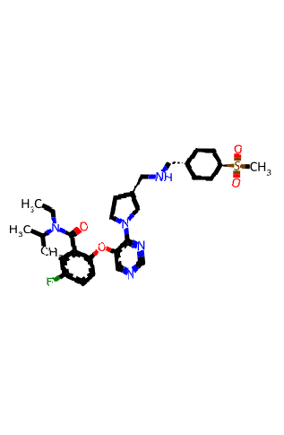 CCN(C(=O)c1cc(F)ccc1Oc1cncnc1N1CC[C@@H](CNC[C@H]2CC[C@H](S(C)(=O)=O)CC2)C1)C(C)C